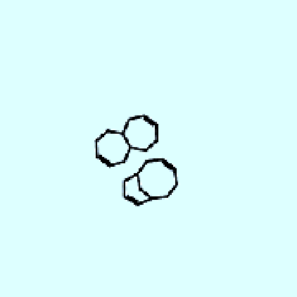 C1=CC2CC/C=C\CC(C1)C2.C1=CCC2CCC=CCC2CC1